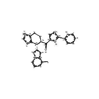 Cc1cccn2nc([C@@H]3c4nc[nH]c4CCN3C(=O)c3cnc(-c4ccccn4)o3)cc12